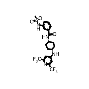 CS(=O)(=O)Nc1cccc(C(=O)N[C@H]2CC[C@@H](Nc3cc(C(F)(F)F)nc(C(F)(F)F)c3)CC2)c1